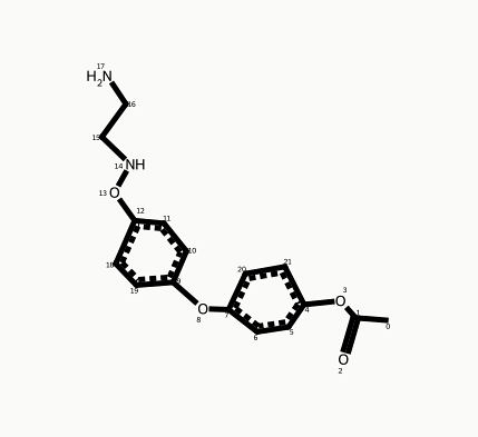 CC(=O)Oc1ccc(Oc2ccc(ONCCN)cc2)cc1